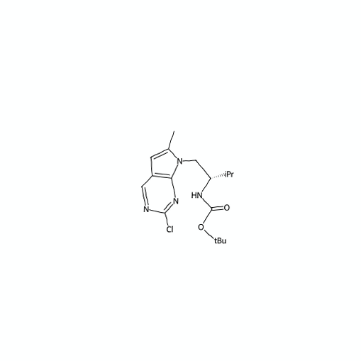 Cc1cc2cnc(Cl)nc2n1C[C@@H](NC(=O)OC(C)(C)C)C(C)C